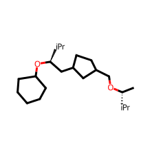 CC(C)[C@@H](C)OCC1CCC(C[C@@H](OC2CCCCC2)C(C)C)C1